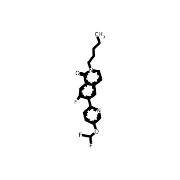 CCCCCn1ccc2cc(-c3ccc(OC(F)F)cn3)c(F)cc2c1=O